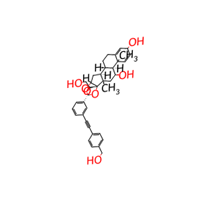 C[C@]12C=CC(O)C=C1CC[C@@H]1[C@@H]2[C@@H](O)C[C@@]2(C)[C@H]1C[C@H]1O[C@@H](c3cccc(C#Cc4ccc(CO)cc4)c3)O[C@]12C(=O)CO